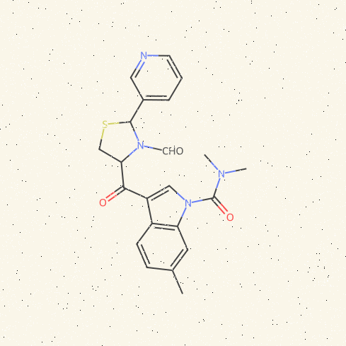 Cc1ccc2c(C(=O)C3CSC(c4cccnc4)N3C=O)cn(C(=O)N(C)C)c2c1